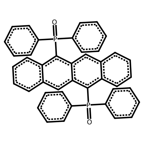 O=P(c1ccccc1)(c1ccccc1)c1c2ccccc2cc2c(P(=O)(c3ccccc3)c3ccccc3)c3ccccc3cc12